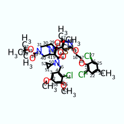 COc1cc(CN(C(=O)C2=C(c3cnc(OCCOc4c(Cl)cc(C)cc4Cl)s3)CC3CN(C(=O)OC(C)(C)C)CC2N3C(=O)OC(C)(C)C)C2CC2)c(Cl)c(OC)c1